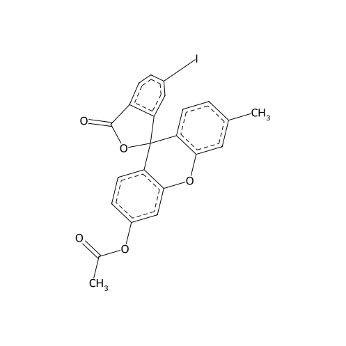 CC(=O)Oc1ccc2c(c1)Oc1cc(C)ccc1C21OC(=O)c2ccc(I)cc21